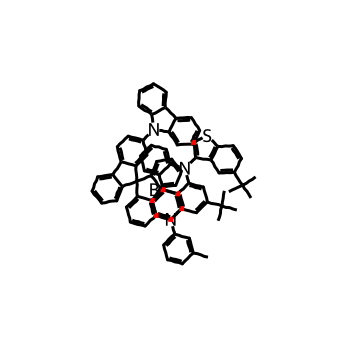 Cc1cccc(N(c2cc(C(C)(C)C)cc(N(c3ccccc3-c3ccccc3)c3csc4ccc(C(C)(C)C)cc34)c2Br)c2cccc3c2-c2ccccc2C32c3ccccc3-c3ccc(-n4c5ccccc5c5ccccc54)cc32)c1